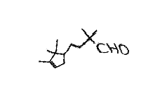 CC1=CCC(CCC(C)(C)C=O)C1(C)C